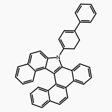 C1=C(c2ccccc2)CCC(n2c3ccc4ccccc4c3c3c4c5ccccc5ccc4c4ccccc4c32)=C1